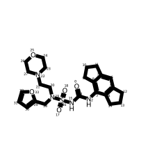 O=C(Nc1c2c(cc3c1CCC3)CCC2)NS(=O)(=O)N(CCN1CCOCC1)Cc1ccco1